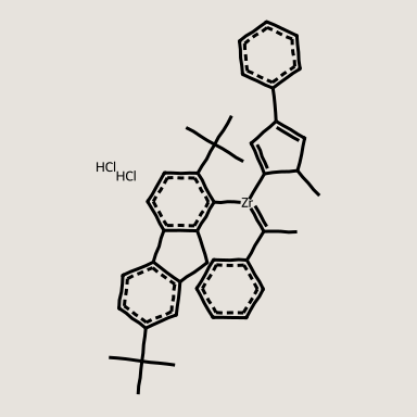 C/[C](c1ccccc1)=[Zr](\[C]1=CC(c2ccccc2)=CC1C)[c]1c(C(C)(C)C)ccc2c1Cc1cc(C(C)(C)C)ccc1-2.Cl.Cl